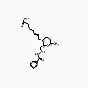 COC(=O)CCCC=CC[C@H]1CO[C@@H](C)O[C@H]1CNNC(=O)c1cccs1